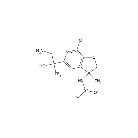 CC(C)[S+]([O-])NC1(C)COc2c1cc(C(O)(CN)C(F)(F)F)nc2Cl